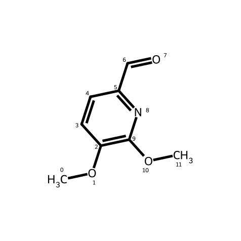 COc1ccc(C=O)nc1OC